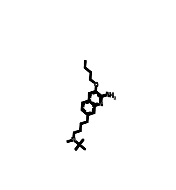 CCCCOc1cc2ccc(CCCCN(C)C(C)(C)C)cc2nc1N